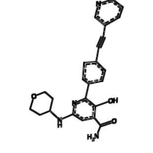 NC(=O)c1cc(NC2CCOCC2)nc(-c2ccc(C#Cc3cccnc3)cc2)c1O